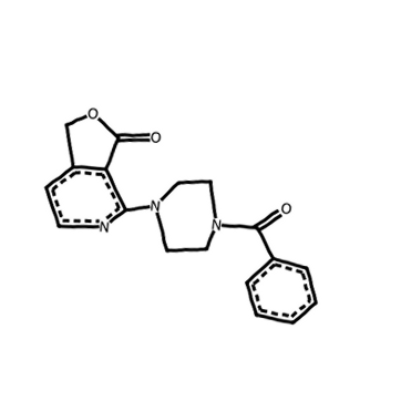 O=C1OCc2ccnc(N3CCN(C(=O)c4ccccc4)CC3)c21